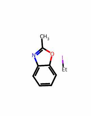 CCI.Cc1nc2ccccc2o1